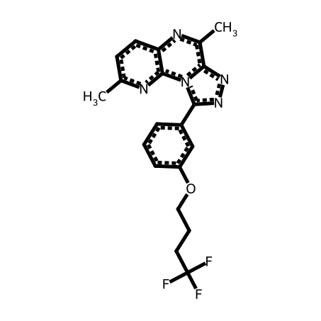 Cc1ccc2nc(C)c3nnc(-c4cccc(OCCCC(F)(F)F)c4)n3c2n1